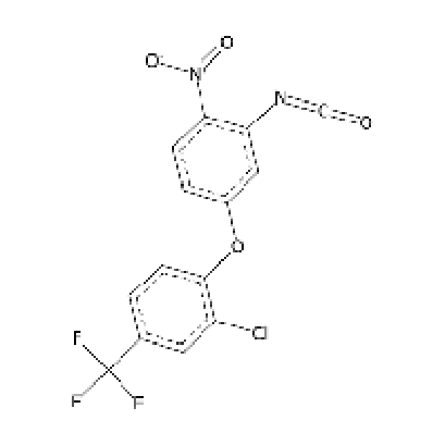 O=C=Nc1cc(Oc2ccc(C(F)(F)F)cc2Cl)ccc1[N+](=O)[O-]